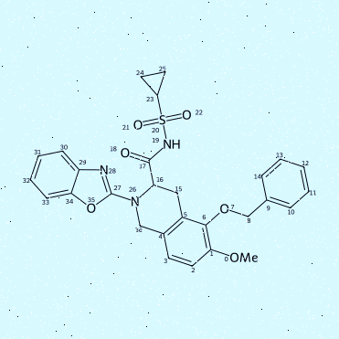 COc1ccc2c(c1OCc1ccccc1)CC(C(=O)NS(=O)(=O)C1CC1)N(c1nc3ccccc3o1)C2